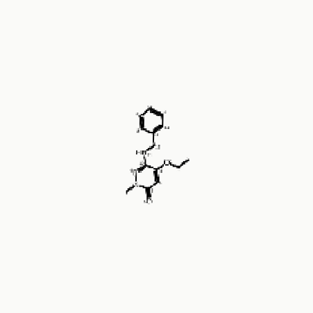 CCOc1cc(=O)n(C)nc1NCc1ccccc1